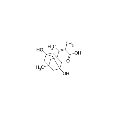 CC(C(=O)O)=C(C)C12CC3(C)CC(O)(CC(O)(C3)C1)C2